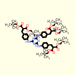 C[Si](C)(C)COC(=O)C(=Cc1ccc(Nc2nc(Nc3ccc(C=C(C(=O)OC[Si](C)(C)C)C(=O)OC[Si](C)(C)C)cc3)nc(Nc3ccc(C=C(C(=O)OC[Si](C)(C)C)C(=O)OC[Si](C)(C)C)cc3)n2)cc1)C(=O)OC[Si](C)(C)C